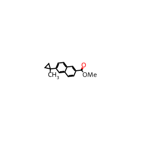 COC(=O)c1ccc2cc(C3(C)CC3)ccc2c1